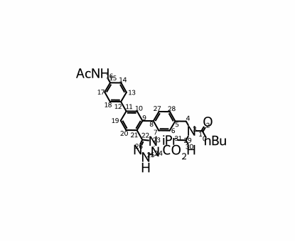 CCCCC(=O)N(Cc1ccc(-c2cc(-c3ccc(NC(C)=O)cc3)ccc2-c2nn[nH]n2)cc1)C(C(=O)O)C(C)C